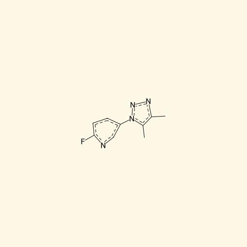 Cc1nnn(-c2ccc(F)nc2)c1C